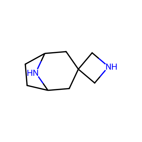 C1CC2CC3(CNC3)CC1N2